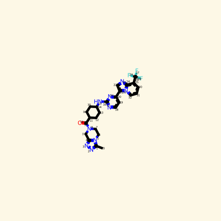 Cc1nnc2n1CCN(C(=O)C1CCC(Nc3nccc(-c4cnc5c(C(F)(F)F)cccn45)n3)CC1)C2